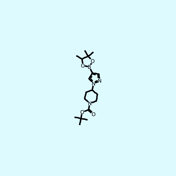 CC1OB(c2cnn(C3CCN(C(=O)OC(C)(C)C)CC3)c2)OC1(C)C